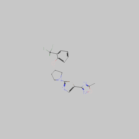 Cc1nc(-c2cnc(N3CC[C@H](Oc4ccccc4C(F)(F)F)C3)s2)no1